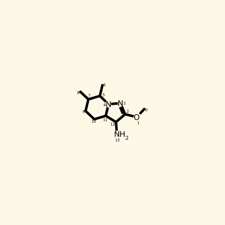 COC1=NN2C(C)C(C)CCC2C1N